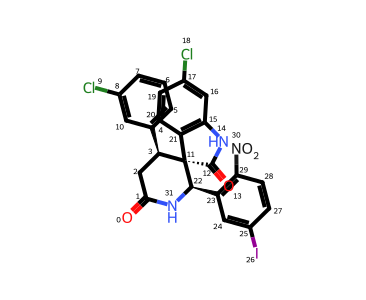 O=C1C[C@@H](c2cccc(Cl)c2)[C@]2(C(=O)Nc3cc(Cl)ccc32)[C@@H](c2cc(I)ccc2[N+](=O)[O-])N1